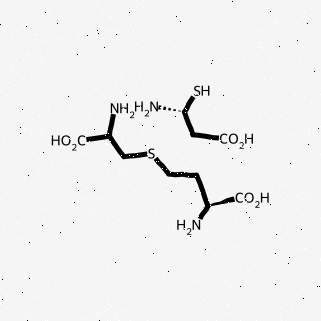 NC(CSCC[C@H](N)C(=O)O)C(=O)O.N[C@H](S)CC(=O)O